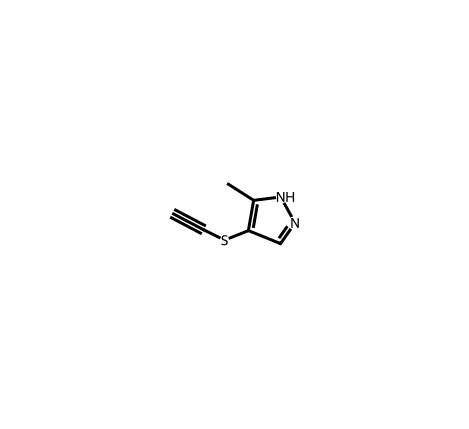 C#CSc1cn[nH]c1C